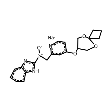 [Na].[O-][S+](Cc1cc(OC2COC3(CCC3)OC2)ccn1)c1nc2ccccc2[nH]1